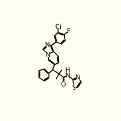 CC(C)(C(=O)Nc1nccs1)C(c1ccccc1)c1ccc2c(-c3ccc(F)c(Cl)c3)ncn2c1